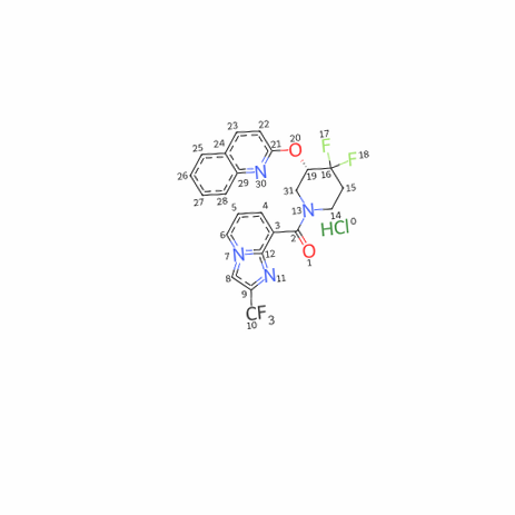 Cl.O=C(c1cccn2cc(C(F)(F)F)nc12)N1CCC(F)(F)[C@@H](Oc2ccc3ccccc3n2)C1